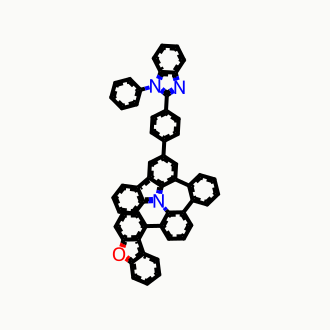 c1ccc(-n2c(-c3ccc(-c4cc5c6c(c4)c4ccccc4n6-c4c(cccc4-c4cccc6oc7ccccc7c46)-c4ccccc4-5)cc3)nc3ccccc32)cc1